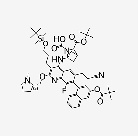 CN1CCC[C@H]1COc1nc2c(F)c(-c3cc(OC(=O)C(C)(C)C)cc4ccccc34)c(CCC#N)cc2c(NC23CC(C2)C(C(=O)OC(C)(C)C)N3C(=O)O)c1CCCO[Si](C)(C)C(C)(C)C